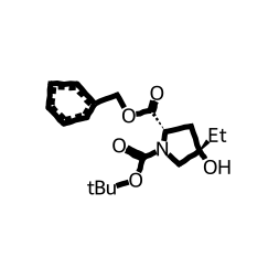 CC[C@]1(O)C[C@@H](C(=O)OCc2ccccc2)N(C(=O)OC(C)(C)C)C1